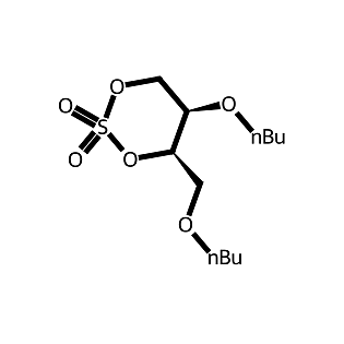 CCCCOC[C@H]1OS(=O)(=O)OC[C@H]1OCCCC